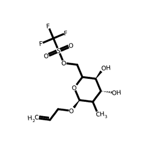 C=CCO[C@H]1OC(COS(=O)(=O)C(F)(F)F)[C@@H](O)[C@H](O)C1C